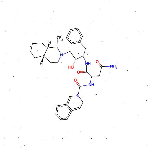 NC(=O)C[C@H](NC(=O)N1C=c2ccccc2=CC1)C(=O)N[C@@H](Cc1ccccc1)[C@H](O)CN1CC[C@@H]2CCCC[C@@H]2[C@@H]1C(F)(F)F